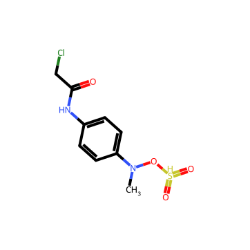 CN(O[SH](=O)=O)c1ccc(NC(=O)CCl)cc1